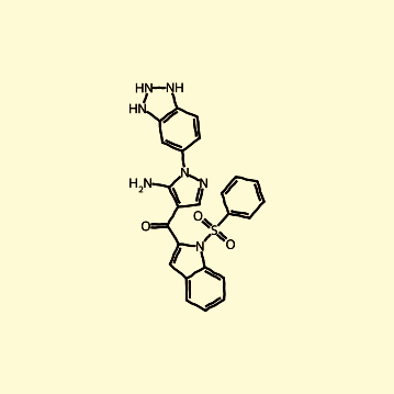 Nc1c(C(=O)c2cc3ccccc3n2S(=O)(=O)c2ccccc2)cnn1-c1ccc2c(c1)NNN2